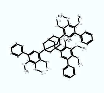 COc1c(-c2ccccc2)cc(C23CC4CC(c5cc(-c6ccccc6)c(OC)c(OC)c5OC)(C2)CC(c2cc(-c5ccccc5)c(OC)c(OC)c2OC)(C4)C3)c(OC)c1OC